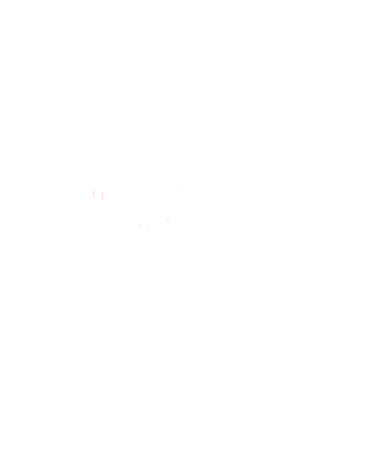 O=C(OCC1CCCCC1CO)C(F)(F)S(=O)(=O)O